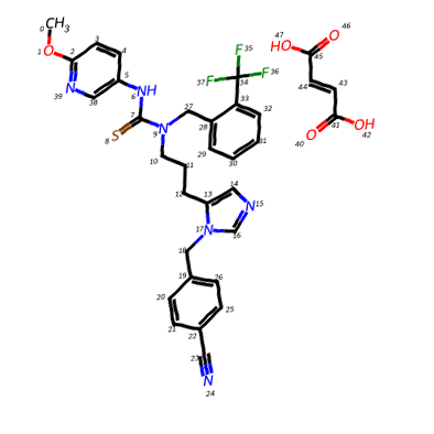 COc1ccc(NC(=S)N(CCCc2cncn2Cc2ccc(C#N)cc2)Cc2ccccc2C(F)(F)F)cn1.O=C(O)C=CC(=O)O